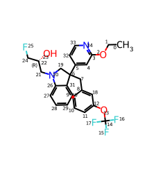 CCOc1cc(C2(Cc3cccc(OC(F)(F)F)c3)CN(C[C@@H](O)CF)c3ccccc32)ccn1